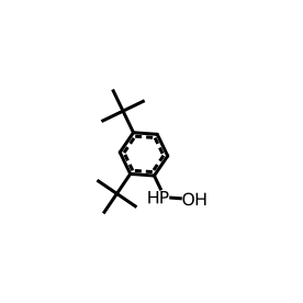 CC(C)(C)c1ccc(PO)c(C(C)(C)C)c1